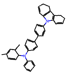 CC1=CC(C)C(N(c2ccccc2)c2ccc(-c3ccc(-n4c5c(c6c4C=CCC6)CCC=C5)cc3)cc2)C=C1